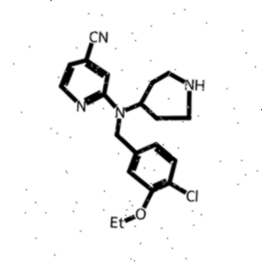 CCOc1cc(CN(c2cc(C#N)ccn2)C2CCNCC2)ccc1Cl